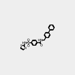 O=C(NCc1ccc(-c2ccccc2)cc1)c1ccc(S(=O)(=O)Nc2nccs2)cc1